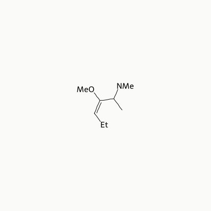 CC/C=C(/OC)C(C)NC